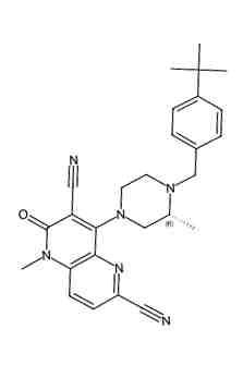 C[C@@H]1CN(c2c(C#N)c(=O)n(C)c3ccc(C#N)nc23)CCN1Cc1ccc(C(C)(C)C)cc1